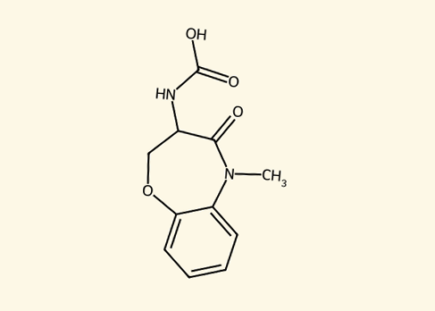 CN1C(=O)C(NC(=O)O)COc2ccccc21